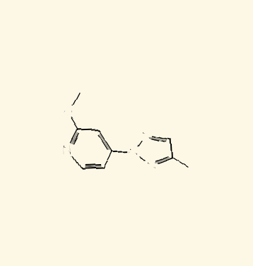 COc1cc(-n2ncc(C)n2)ccn1